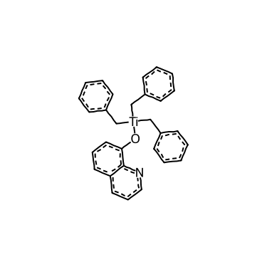 c1ccc([CH2][Ti]([CH2]c2ccccc2)([CH2]c2ccccc2)[O]c2cccc3cccnc23)cc1